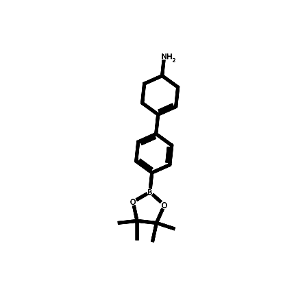 CC1(C)OB(c2ccc(C3=CCC(N)CC3)cc2)OC1(C)C